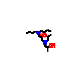 CCCCN(CCCC)CCCN(CC(C)O)CC(C)O